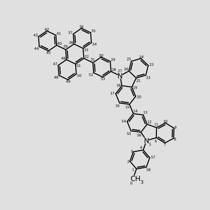 Cc1ccc(-n2c3ccccc3c3cc(-c4ccc5c(c4)c4ccccc4n5-c4ccc(-c5c6ccccc6c(-c6ccccc6)c6ccccc56)cc4)ccc32)cc1